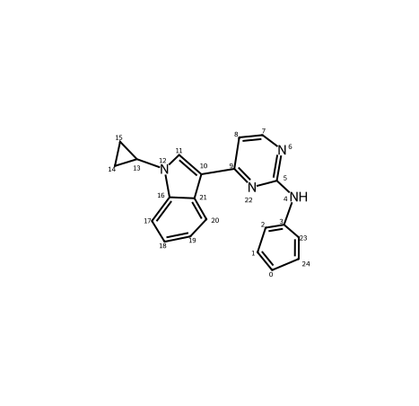 c1ccc(Nc2nccc(-c3cn(C4CC4)c4ccccc34)n2)cc1